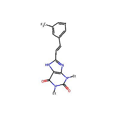 CCn1c(=O)c2[nH]c(/C=C/c3cccc(C(F)(F)F)c3)nc2n(CC)c1=O